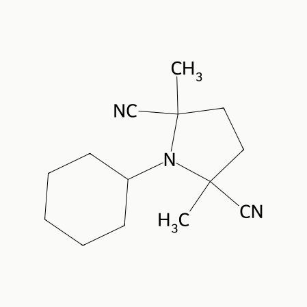 CC1(C#N)CCC(C)(C#N)N1C1CCCCC1